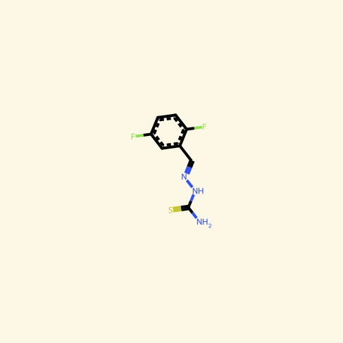 NC(=S)NN=Cc1cc(F)ccc1F